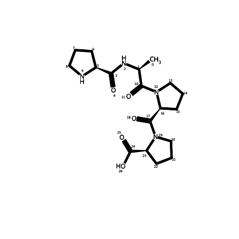 C[C@H](NC(=O)[C@@H]1CCCN1)C(=O)N1CCC[C@H]1C(=O)N1CCC[C@H]1C(=O)O